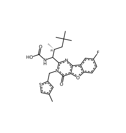 Cc1csc(Cn2c(C(NC(=O)O)[C@H](C)CC(C)(C)C)nc3c(oc4ccc(F)cc43)c2=O)c1